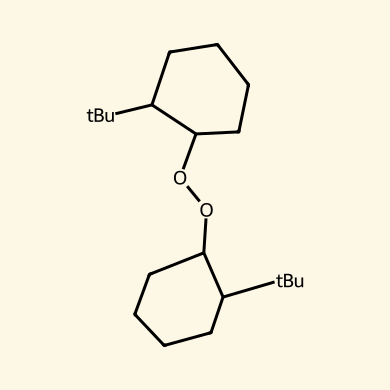 CC(C)(C)C1CCCCC1OOC1CCCCC1C(C)(C)C